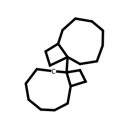 C1CCCC2CCC2(C23CCCCCCCC2CC3)CCC1